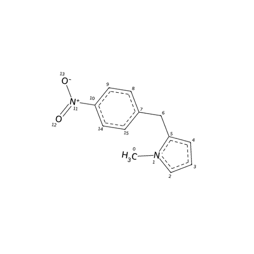 Cn1cccc1Cc1ccc([N+](=O)[O-])cc1